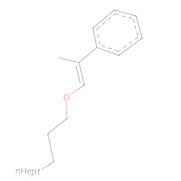 CCCCCCCCCCOC=C(C)c1ccccc1